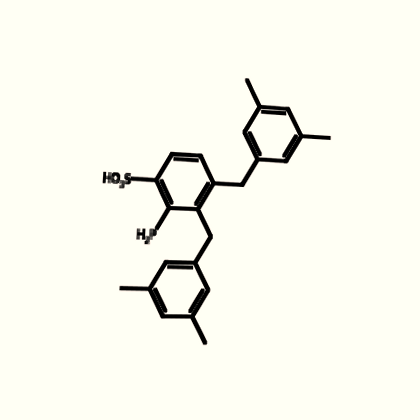 Cc1cc(C)cc(Cc2ccc(S(=O)(=O)O)c(P)c2Cc2cc(C)cc(C)c2)c1